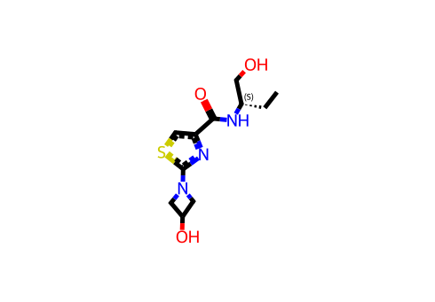 CC[C@@H](CO)NC(=O)c1csc(N2CC(O)C2)n1